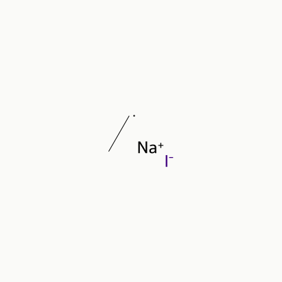 [CH2]C.[I-].[Na+]